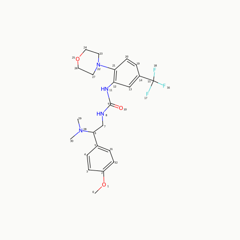 COc1ccc(C(CNC(=O)Nc2cc(C(F)(F)F)ccc2N2CCOCC2)N(C)C)cc1